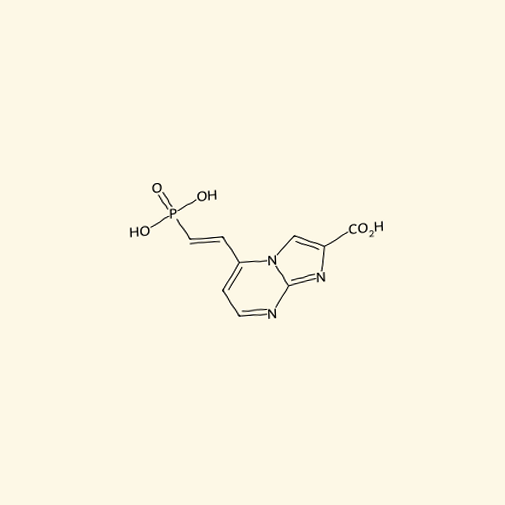 O=C(O)c1cn2c(/C=C/P(=O)(O)O)ccnc2n1